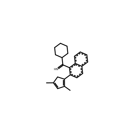 CC1=CC(C)=C(c2ccc3ccccc3c2C(=N)C2CCCCC2)C1